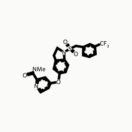 CNC(=O)c1cc(Oc2ccc3c(c2)CCN3S(=O)(=O)Cc2cccc(C(F)(F)F)c2)ccn1